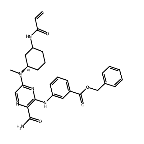 C=CC(=O)NC1CCC[C@@H](N(C)c2cnc(C(N)=O)c(Nc3cccc(C(=O)OCc4ccccc4)c3)n2)C1